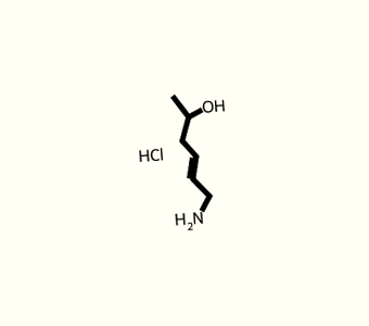 CC(O)CC=CCN.Cl